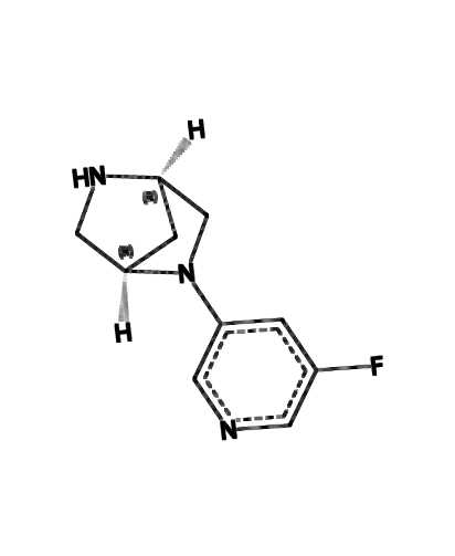 Fc1cncc(N2C[C@H]3C[C@@H]2CN3)c1